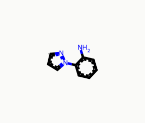 Nc1ccccc1-n1cc[c]n1